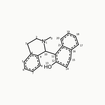 CN1CCc2ccccc2C1c1c(O)ccc2ccccc12